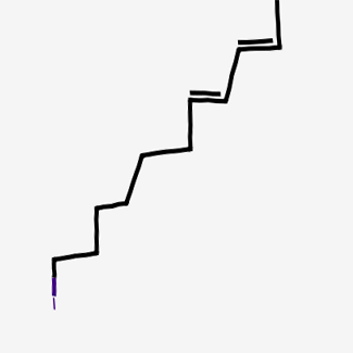 CC=CC=CCCCCCCI